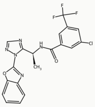 C[C@H](NC(=O)c1cc(Cl)cc(C(F)(F)F)c1)c1ncnn1-c1nc2ccccc2o1